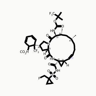 C[C@@H]1CC/C=C\[C@@H]2C[C@@]2(C(=O)NS(=O)(=O)C2(CF)CC2)NC(=O)[C@@H]2C[C@H](C3(C(F)(F)F)C=CC=CC3C(=O)O)CN2C(=O)[C@@H](NC(=O)OC(C)(C)C(F)(F)F)[C@H](C)C1